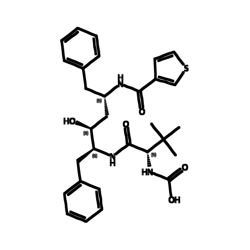 CC(C)(C)[C@H](NC(=O)O)C(=O)N[C@@H](Cc1ccccc1)[C@@H](O)C[C@H](Cc1ccccc1)NC(=O)c1ccsc1